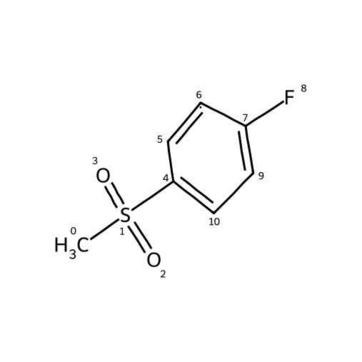 CS(=O)(=O)c1c[c]c(F)cc1